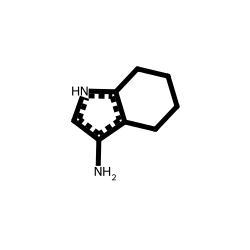 Nc1c[nH]c2c1CCCC2